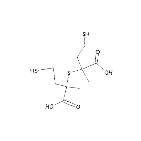 CC(CCS)(SC(C)(CCS)C(=O)O)C(=O)O